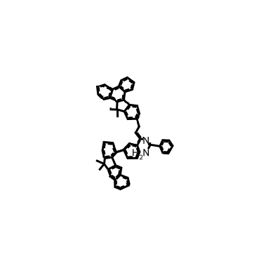 CC1(C)c2cc3ccccc3cc2-c2c(-c3cccc(C(=C/Cc4ccc5c(c4)C(C)(C)c4c-5c5ccccc5c5ccccc45)/N=C(\N)c4ccccc4)c3)cccc21